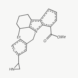 CCC1CCCc2c1n(Cc1cccc(C3CN3)c1)c1c(C(=O)OC)cccc21